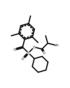 Cc1cc(C)c(C(=O)P(=O)(OC(=O)C(C)C(C)C)C2CCCCC2)c(C)c1